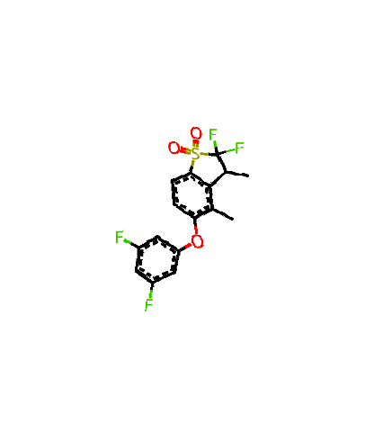 Cc1c(Oc2cc(F)cc(F)c2)ccc2c1C(C)C(F)(F)S2(=O)=O